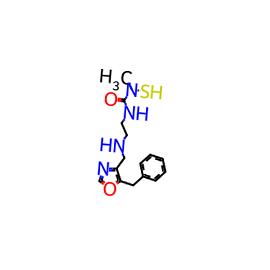 CN(S)C(=O)NCCNCc1ncoc1Cc1ccccc1